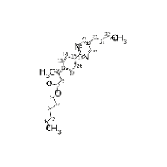 CCCCCCOC(=O)CC(C)c1ccc(-c2ncc(CCCC)cn2)cc1